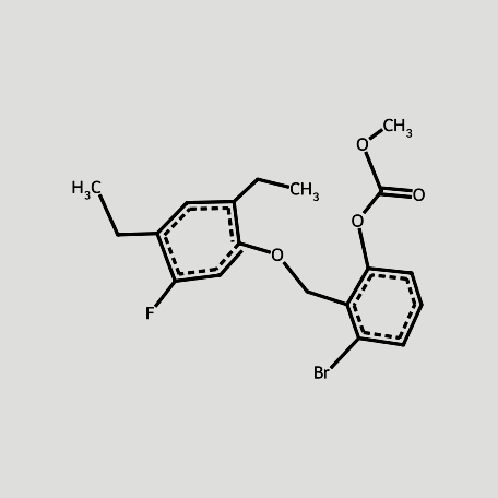 CCc1cc(CC)c(OCc2c(Br)cccc2OC(=O)OC)cc1F